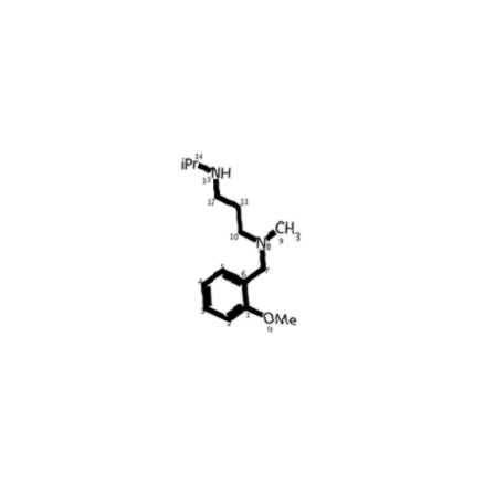 COc1ccccc1CN(C)CCCNC(C)C